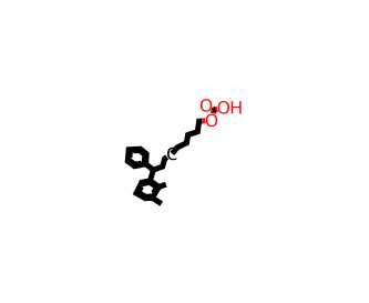 Cc1cccc(C(CCCCCCCCOC(=O)O)c2ccccc2)c1C